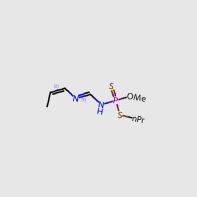 C/C=C\N=C\NP(=S)(OC)SCCC